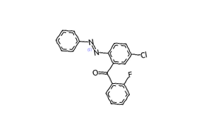 O=C(c1ccccc1F)c1cc(Cl)ccc1/N=N/c1ccccc1